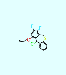 C=CCOc1cc(F)c(F)c2c1C(Cl)c1ccccc1SC2